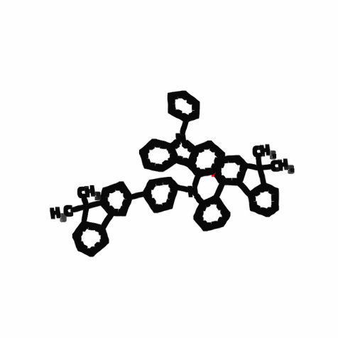 CC1(C)c2ccccc2-c2cc(-c3ccc(N(c4ccccc4-c4cccc5c4-c4ccccc4C5(C)C)c4cccc5c4c4ccccc4n5-c4ccccc4)cc3)ccc21